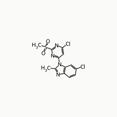 Cc1nc2ccc(Cl)cc2n1-c1cc(Cl)nc(S(C)(=O)=O)n1